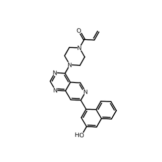 C=CC(=O)N1CCN(c2ncnc3cc(-c4cc(O)cc5ccccc45)ncc23)CC1